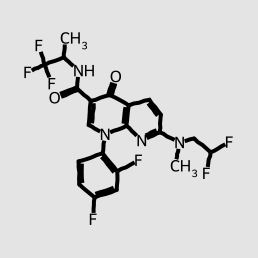 CC(NC(=O)c1cn(-c2ccc(F)cc2F)c2nc(N(C)CC(F)F)ccc2c1=O)C(F)(F)F